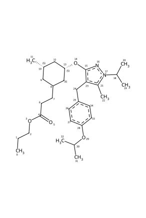 CCCOC(=O)CCC1C[C@H](C)C[C@H](Oc2nn(C(C)C)c(C)c2Cc2ccc(OC(C)C)cc2)C1